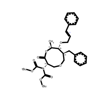 C[C@@H]1OC(=O)[C@@H](N(C(=O)OC(C)(C)C)C(=O)OC(C)(C)C)COC[C@H](Cc2ccccc2)[C@H]1OC/C=C/c1ccccc1